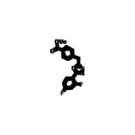 COC(=O)c1ccc(Cc2nnc(-c3ccc(F)cc3F)o2)cc1